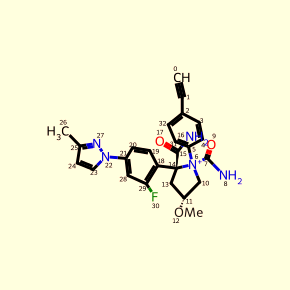 C#Cc1ccc([N+]2(C(N)=O)C[C@H](OC)C[C@]2(C(N)=O)c2ccc(-n3ccc(C)n3)cc2F)cc1